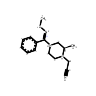 CO/N=C(\c1ccccc1)N1CCN(CC#N)[C@H](C)C1